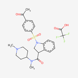 CC(=O)c1ccc(S(=O)(=O)N2CC(C(=O)N(C)C3CCN(C)CC3)c3ccccc32)cc1.O=C(O)C(F)(F)F